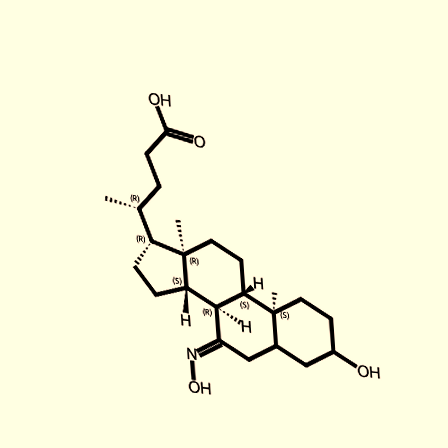 C[C@H](CCC(=O)O)[C@H]1CC[C@H]2[C@@H]3C(=NO)CC4CC(O)CC[C@]4(C)[C@H]3CC[C@]12C